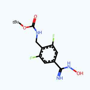 CC(C)(C)OC(=O)NCc1c(F)cc(C(=N)NO)cc1F